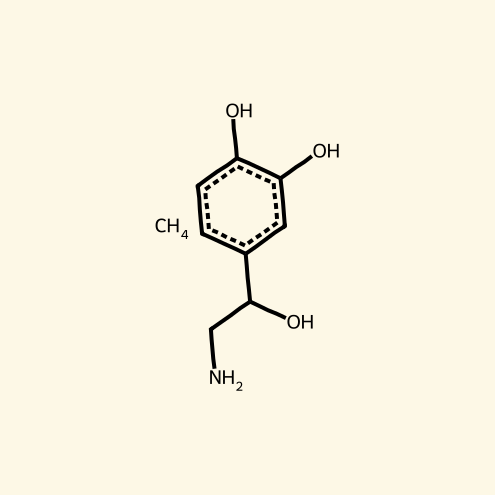 C.NCC(O)c1ccc(O)c(O)c1